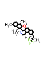 Cc1ccc2c(C)c3c(c(C)c2c1)-c1c2c(cc4ccc(CC(C)(C)C(F)(F)F)cc4c2cc[n+]1C)O3